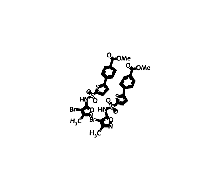 COC(=O)c1ccc(-c2ccc(S(=O)(=O)Nc3onc(C)c3Br)s2)cc1.COC(=O)c1ccc(-c2ccc(S(=O)(=O)Nc3onc(C)c3Br)s2)cc1